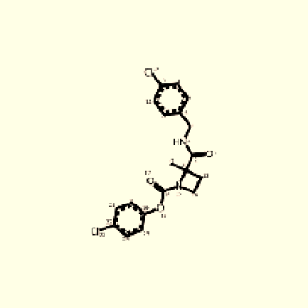 CC1(C(=O)NCc2ccc(Cl)cc2)CCN1C(=O)Oc1ccc(Cl)cc1